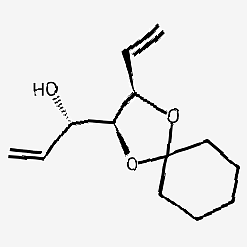 C=C[C@H](O)[C@@H]1OC2(CCCCC2)O[C@@H]1C=C